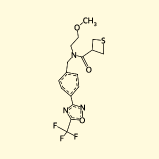 COCCN(Cc1ccc(-c2noc(C(F)(F)F)n2)cc1)C(=O)C1CSC1